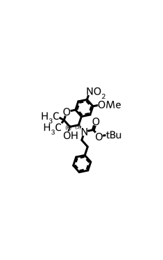 COc1cc2c(cc1[N+](=O)[O-])OC(C)(C)[C@H](O)[C@H]2N(CCc1ccccc1)C(=O)OC(C)(C)C